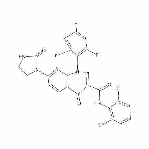 O=C(Nc1c(Cl)cccc1Cl)c1cn(-c2c(F)cc(F)cc2F)c2nc(N3CCNC3=O)ccc2c1=O